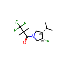 CC(C)[C@H]1CN(C(=O)C(C)(C)C(F)(F)F)C[C@H]1F